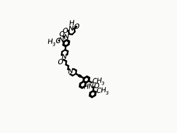 Cc1ccccc1C(=O)N[C@H](C)c1ccc(C#CC2CCN(CCCCC(=O)N3CCC(c4ccc5c(c4)n(C)c(=O)n5C4CCC(=O)NC4=O)CC3)CC2)c2ccccc12